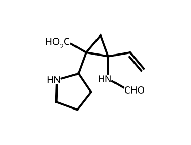 C=CC1(NC=O)CC1(C(=O)O)C1CCCN1